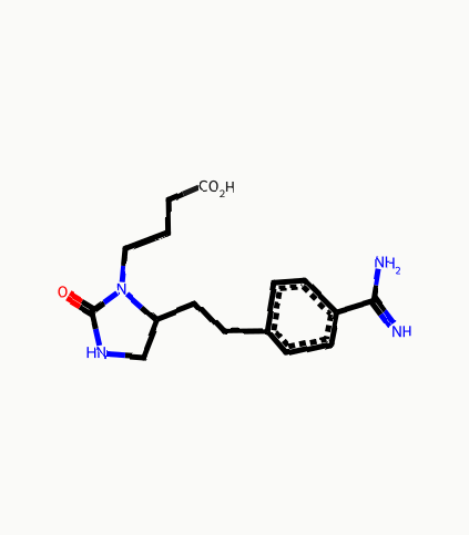 N=C(N)c1ccc(CCC2CNC(=O)N2CCCC(=O)O)cc1